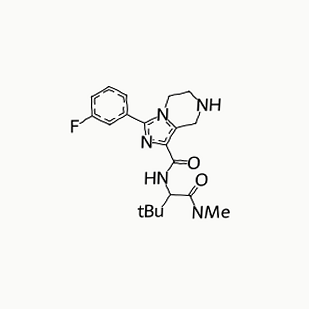 CNC(=O)C(NC(=O)c1nc(-c2cccc(F)c2)n2c1CNCC2)C(C)(C)C